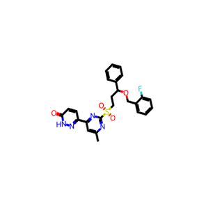 Cc1cc(-c2ccc(=O)[nH]n2)nc(S(=O)(=O)CCC(OCc2ccccc2F)c2ccccc2)n1